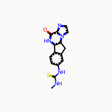 CNC(=S)Nc1ccc2c(c1)Cc1c-2[nH]c(=O)c2nccn12